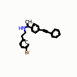 C=C(NCCc1ccc(Br)cc1)c1ccc(C#Cc2ccccc2)cc1